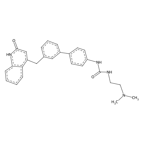 CN(C)CCNC(=O)Nc1ccc(-c2cccc(Cc3cc(=O)[nH]c4ccccc34)c2)cc1